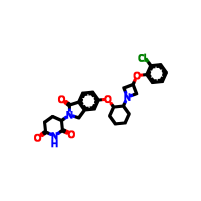 O=C1CCC(N2Cc3cc(OC4CCCCC4N4CC(Oc5ccccc5Cl)C4)ccc3C2=O)C(=O)N1